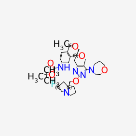 C[C@@H]1OC[C@@]2(Cc3nc(OC[C@@]45CCCN4C[C@H](F)C5)nc(N4CCCOCC4)c3CO2)c2cc(NC(=O)OC(C)(C)C)ccc21